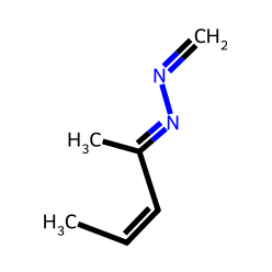 C=N/N=C(C)/C=C\C